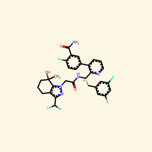 CC1(O)CCCc2c(C(F)F)nn(CC(=O)N[C@@H](Cc3cc(F)cc(F)c3)c3ncccc3-c3ccc(F)c(C(N)=O)c3)c21